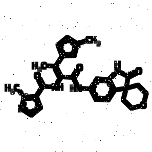 CC(=C(NC(=O)c1ccnn1C)C(=O)Nc1ccc2c(c1)NC(=O)C21CCOCC1)c1ccn(C)c1